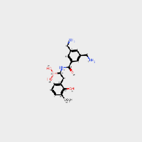 NCc1cc(CN)cc(C(=O)NC(Cc2cccc(C(=O)O)c2O)B(O)O)c1